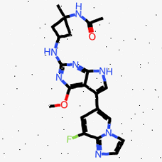 COc1nc(NC2CC(C)(NC(C)=O)C2)nc2[nH]cc(-c3cc(F)c4nccn4c3)c12